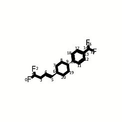 FC(F)CC=C[C@H]1CC[C@H](c2ccc(C(F)F)cc2)CC1